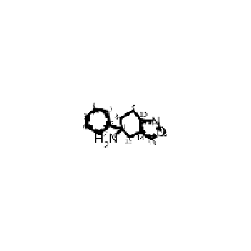 NC1(c2ccccc2)CCc2nocc2C1